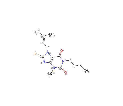 CCCCn1c(=O)c2c(nc(Br)n2CC=C(C)C)n(C)c1=O